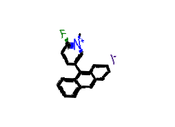 C[n+]1cc(-c2c3ccccc3cc3ccccc23)ccc1F.[I-]